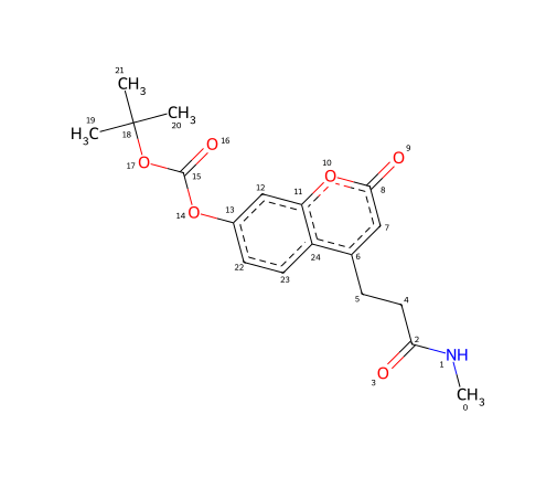 CNC(=O)CCc1cc(=O)oc2cc(OC(=O)OC(C)(C)C)ccc12